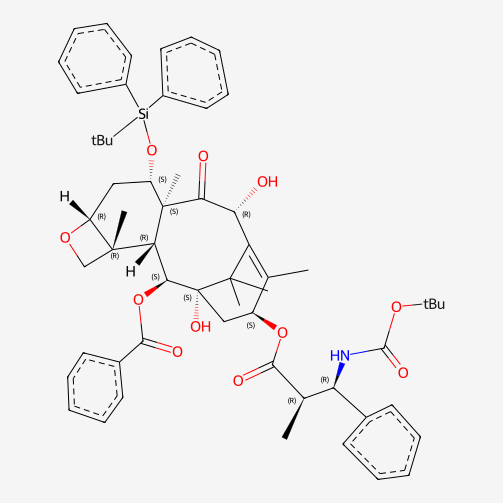 CC1=C2[C@@H](O)C(=O)[C@]3(C)[C@@H](O[Si](c4ccccc4)(c4ccccc4)C(C)(C)C)C[C@H]4OC[C@@]4(C)[C@H]3[C@H](OC(=O)c3ccccc3)[C@](O)(C[C@@H]1OC(=O)[C@H](C)[C@@H](NC(=O)OC(C)(C)C)c1ccccc1)C2(C)C